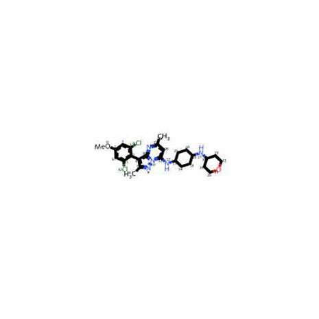 COc1cc(Cl)c(-c2c(C)nn3c(NC4CCC(NC5CCOCC5)CC4)cc(C)nc23)c(Cl)c1